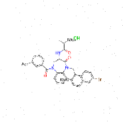 CNC(C)C(=O)NC1CN(C(=O)c2cccc(C(C)=O)c2)c2ccccc2N(Cc2c(OC)ccc3cc(Br)ccc23)C1=O.Cl